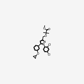 COC(=O)C(C)(C)OCc1cc(-c2cccc(OC3CC3)c2)n(-c2ccc(Cl)cc2Cl)n1